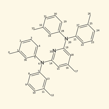 Cc1cccc(N(c2cccc(C)c2)c2cc(C)cc(N(c3cccc(C)c3)c3cccc(C)c3)n2)c1